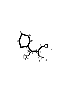 CCN(C)[C@@H](C)C1CCCCC1